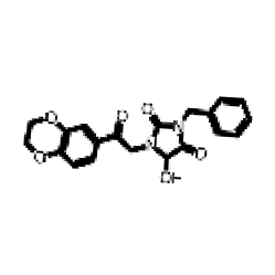 O=C(CN1C(=O)N(Cc2ccccc2)C(=O)C1O)c1ccc2c(c1)OCCO2